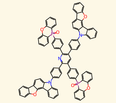 O=P1(c2ccc(-c3cc(-c4ccc(-n5c6ccccc6c6c7oc8ccccc8c7ccc65)cc4)c(-c4ccc(P5(=O)c6ccccc6Oc6ccccc65)cc4)nc3-c3ccc(-n4c5ccccc5c5c6oc7ccccc7c6ccc54)cc3)cc2)c2ccccc2Oc2ccccc21